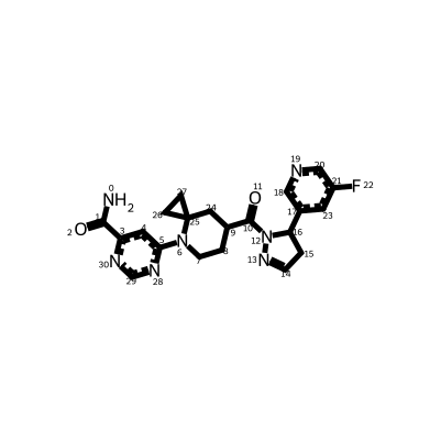 NC(=O)c1cc(N2CCC(C(=O)N3N=CCC3c3cncc(F)c3)CC23CC3)ncn1